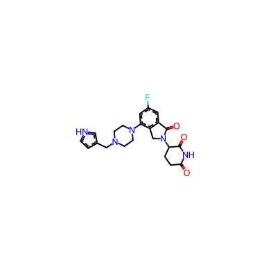 O=C1CCC(N2Cc3c(cc(F)cc3N3CCN(Cc4cc[nH]c4)CC3)C2=O)C(=O)N1